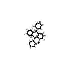 Fc1ccccc1-c1c2ccccc2c(-c2ccccc2)c2ccccc12